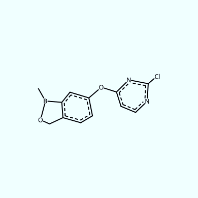 CB1OCc2ccc(Oc3ccnc(Cl)n3)cc21